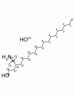 CCCCCCCCCCCCCCCCC(CCO)C(C)(C)N.Cl